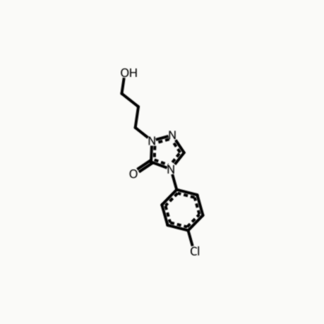 O=c1n(-c2ccc(Cl)cc2)cnn1CCCO